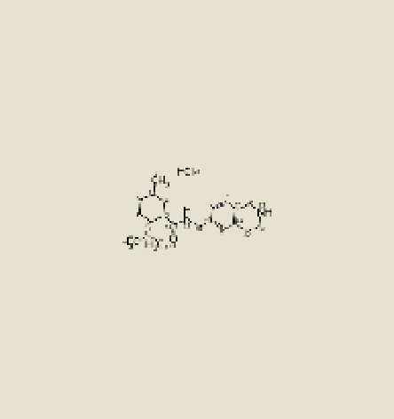 CC(C)[C@@H]1CC[C@@H](C)C[C@H]1C(=O)NCc1ccc2c(c1)CCNC2.Cl